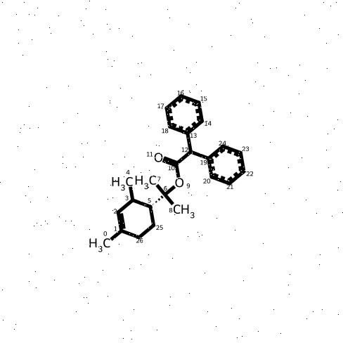 CC1=CC(C)[C@H](C(C)(C)OC(=O)C(c2ccccc2)c2ccccc2)CC1